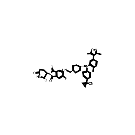 Cc1ccc(-c2c(C)noc2C)cc1N(C[C@H]1CC[C@H](CNc2cc3c(cc2F)C(=O)N(C2CCC(=O)NC2=O)C3=O)CC1)c1ccc(C2(C#N)CC2)cc1